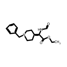 CCOC(=O)C(NC=O)=C1CCN(Cc2ccccc2)CC1